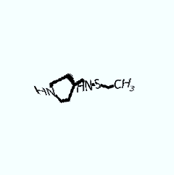 CCSNCC1CCNCC1